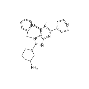 Cn1c(-c2ccncc2)nc2nc(N3CCCC(N)C3)n(Cc3ccccc3)c2c1=O